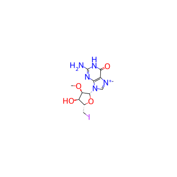 CO[C@@H]1[C@H](O)[C@@H](CI)O[C@H]1n1c[n+](C)c2c(=O)[nH]c(N)nc21